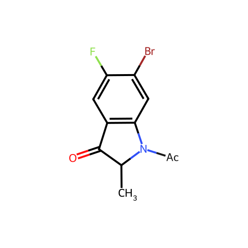 CC(=O)N1c2cc(Br)c(F)cc2C(=O)C1C